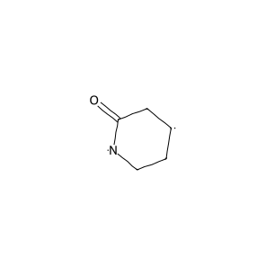 O=C1C[CH]CC[N]1